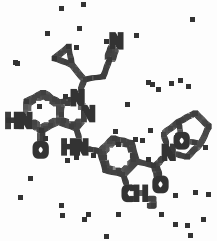 Cc1cc(Nc2nn(C(CC#N)C3CC3)c3cc[nH]c(=O)c23)ccc1C(=O)N1CC2CCC(C1)O2